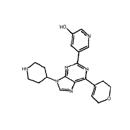 Oc1cncc(-c2nc(C3=CCOCC3)c3ncn(C4CCNCC4)c3n2)c1